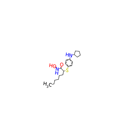 CCCCCCC(Sc1ccc(NC2CCCC2)cc1)C(=O)NO